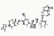 N#Cc1cc(S(=O)(=O)NC(=O)c2ccccc2Oc2cnc3[nH]ccc3c2)cnc1OCC1(F)CCN(C2COC2)CC1